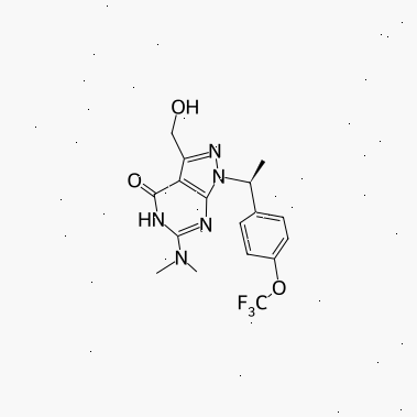 C[C@@H](c1ccc(OC(F)(F)F)cc1)n1nc(CO)c2c(=O)[nH]c(N(C)C)nc21